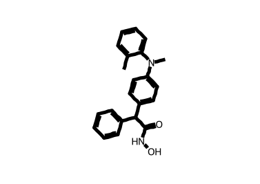 Cc1ccccc1N(C)c1ccc(C(C(=O)NO)c2ccccc2)cc1